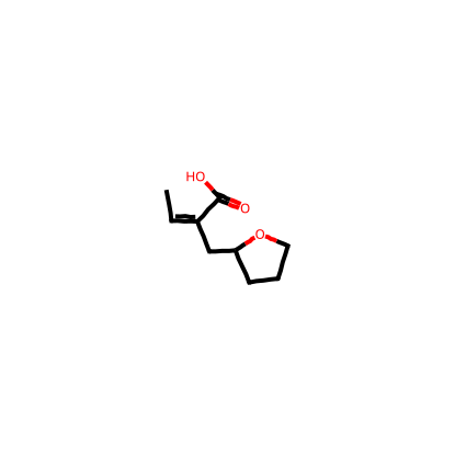 CC=C(CC1CCCO1)C(=O)O